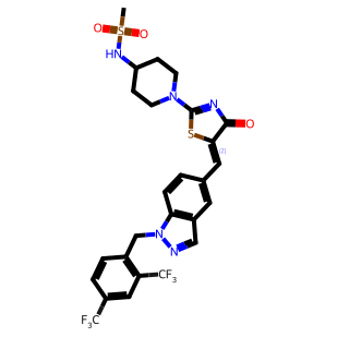 CS(=O)(=O)NC1CCN(C2=NC(=O)/C(=C/c3ccc4c(cnn4Cc4ccc(C(F)(F)F)cc4C(F)(F)F)c3)S2)CC1